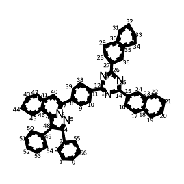 c1ccc(-c2nn3c(-c4ccc(-c5nc(-c6ccc7ccccc7c6)nc(-c6ccc7ccccc7c6)n5)cc4)cc4ccccc4c3c2-c2ccccc2)cc1